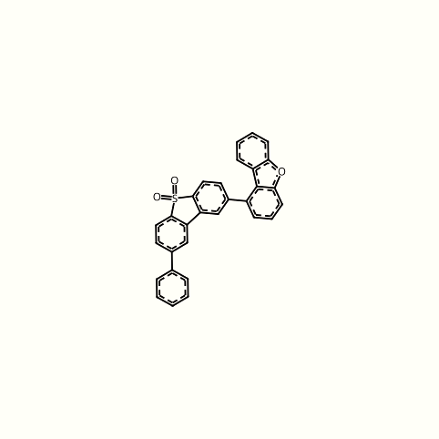 O=S1(=O)c2ccc(-c3ccccc3)cc2-c2cc(-c3cccc4oc5ccccc5c34)ccc21